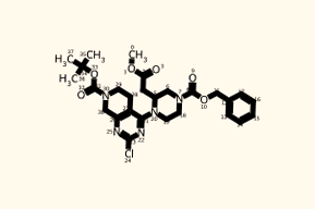 COC(=O)CC1CN(C(=O)OCc2ccccc2)CCN1c1nc(Cl)nc2c1CCN(C(=O)OC(C)(C)C)C2